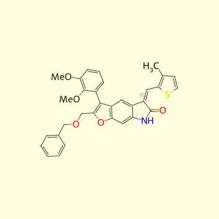 COc1cccc(-c2c(COCc3ccccc3)oc3cc4c(cc23)/C(=C/c2sccc2C)C(=O)N4)c1OC